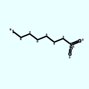 O=[SH](=O)CCCCCCI